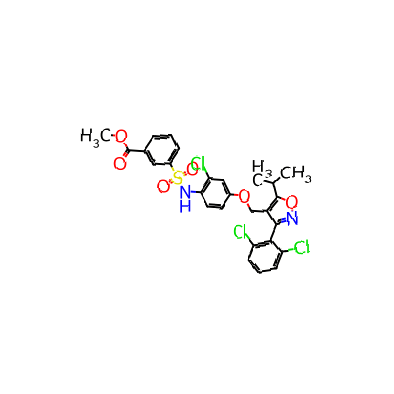 COC(=O)c1cccc(S(=O)(=O)Nc2ccc(OCc3c(-c4c(Cl)cccc4Cl)noc3C(C)C)cc2Cl)c1